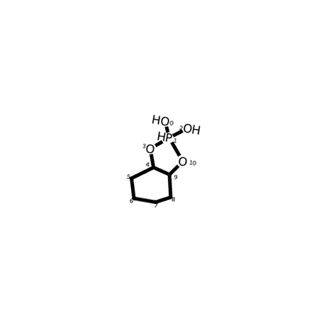 O[PH]1(O)OC2CCCCC2O1